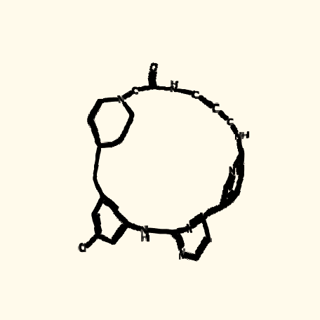 O=C1CN2CCC(CC2)Cc2cc(Cl)cc(c2)Nc2nccc(n2)-c2ccc(nc2)NCCCN1